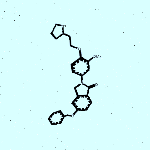 COc1cc(N2Cc3cc(Oc4ccccc4)ccc3C2=O)ccc1OCCC1CCCN1